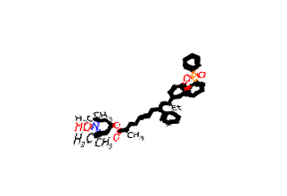 CCC(CC(C/C=C/CCC(C)C(=O)OC1CC(C)(C)N(O)C(C)(C)C1)c1ccccc1)c1ccc(OP(=O)(c2ccccc2)c2ccccc2)cc1